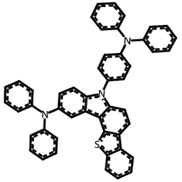 c1ccc(N(c2ccccc2)c2ccc(-n3c4ccc(N(c5ccccc5)c5ccccc5)cc4c4c5sc6ccccc6c5ccc43)cc2)cc1